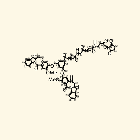 COc1cc2c(cc1OCc1cc(COc3cc4c(cc3OC)C(=O)N3c5ccccc5C[C@H]3CN4)cc(C(=O)NCC(=O)NCC(=O)NCC(=O)NCCC(=O)ON3C(=O)CCC3=O)c1)N=C[C@@H]1Cc3ccccc3N1C2=O